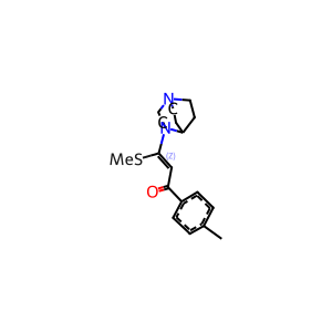 CS/C(=C\C(=O)c1ccc(C)cc1)N1CCN2CCC1CC2